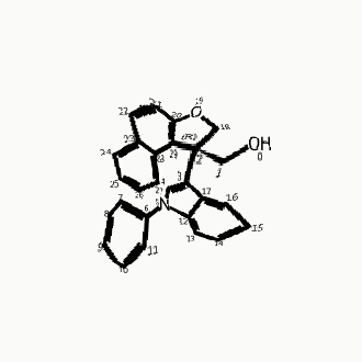 OC[C@]1(c2cn(-c3ccccc3)c3ccccc23)COc2ccc3ccccc3c21